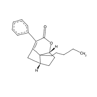 CCCCCC12C3=C(c4ccccc4)C(=O)O[C@@H]1CC[C@@H]2C3